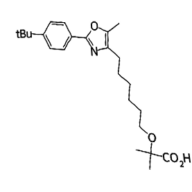 Cc1oc(-c2ccc(C(C)(C)C)cc2)nc1CCCCCCOC(C)(C)C(=O)O